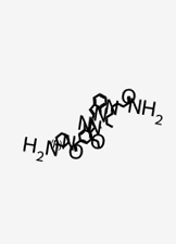 CCC1CN(CCC(N)=O)c2cccc3cc(-c4nc5cc(C(=O)N6CCC[C@@H](N)C6)cc(OC)c5n4C)n1c23